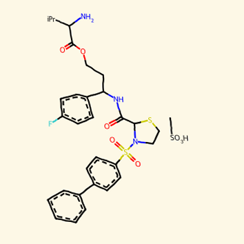 CC(C)C(N)C(=O)OCCC(NC(=O)C1SCCN1S(=O)(=O)c1ccc(-c2ccccc2)cc1)c1ccc(F)cc1.CS(=O)(=O)O